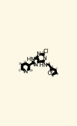 Clc1nc(NCc2ccco2)c2nc(-c3cccnc3)[nH]c2n1